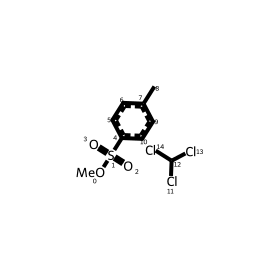 COS(=O)(=O)c1ccc(C)cc1.ClC(Cl)Cl